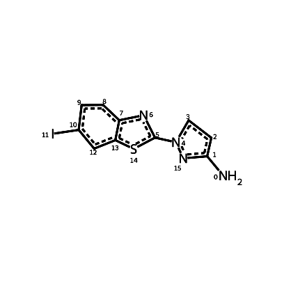 Nc1ccn(-c2nc3ccc(I)cc3s2)n1